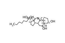 CCCCCCC(C)(O)[C@H]1CCC2C3C[C@H](O)[C@H]4C[C@@H](O)CC[C@]4(C)C3CC[C@@]21C